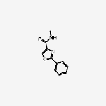 CNC(=O)c1coc(-c2ccccc2)n1